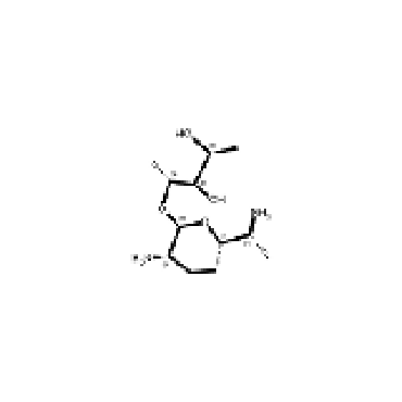 C[C@H](O)[C@@H](O)[C@@H](C)O[C@H]1O[C@H]([C@@H](C)N)CC[C@H]1N